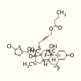 CCCC(=O)OCC#CCSC(=O)[C@@]1(OC(=O)c2ccc(Cl)s2)[C@H](C)C[C@H]2[C@@H]3C[C@H](F)C4=CC(=O)C=C[C@]4(C)[C@@]3(F)[C@@H](O)C[C@@]21C